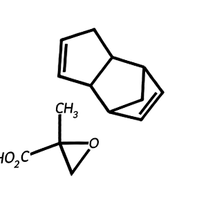 C1=CC2C3C=CC(C3)C2C1.CC1(C(=O)O)CO1